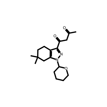 CC(=O)CC(=O)c1nn(C2CCCCO2)c2c1CCC(C)(C)C2